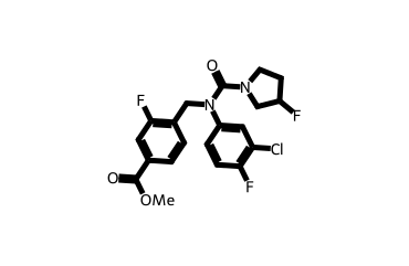 COC(=O)c1ccc(CN(C(=O)N2CCC(F)C2)c2ccc(F)c(Cl)c2)c(F)c1